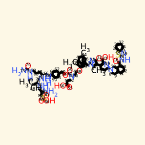 Cc1c(-c2ccc(N3CCc4cccc(C(=O)Nc5nc6ccccc6s5)c4C3)nc2C(=O)O)cnn1CC12CC3(C)CC(C)(C1)CC(OCCN(CCC(=O)O)C(=O)OCc1ccc(NC[C@H](CCCNC(N)=O)NC[C@@H](NC[C@@H](N)CS(=O)(=O)O)C(C)C)cc1)(C3)C2